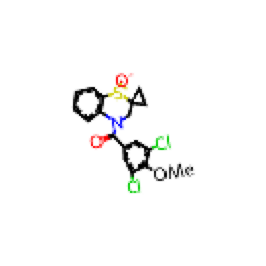 COc1c(Cl)cc(C(=O)N2CC3(CC3)[S+]([O-])c3ccccc32)cc1Cl